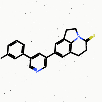 N#Cc1cccc(-c2cncc(-c3cc4c5c(c3)CCN5C(=S)CC4)c2)c1